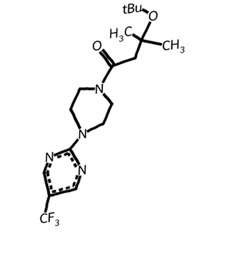 CC(C)(C)OC(C)(C)CC(=O)N1CCN(c2ncc(C(F)(F)F)cn2)CC1